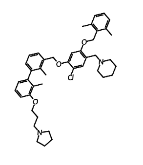 Cc1cccc(C)c1COc1cc(OCc2cccc(-c3cccc(OCCCN4CCCC4)c3C)c2C)c(Cl)cc1CN1CCCCC1